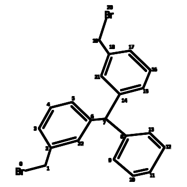 BrCc1cccc(C(c2ccccc2)c2cccc(CBr)c2)c1